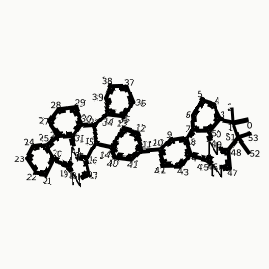 CC1(C)c2cccc3c4cc(-c5ccc(C6c7cnc8c9ccccc9c9cccc(c9n78)C6c6ccccc6)cc5)ccc4c4ncc(n4c23)C1(C)C